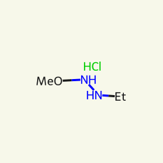 CCNNOC.Cl